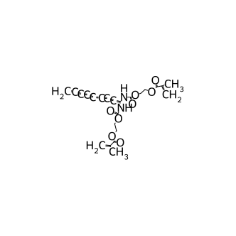 C=C=C=C=C=C=C=C=C(NC(=O)OCCOC(=O)C(=C)C)NC(=O)OCCOC(=O)C(=C)C